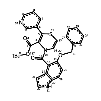 CC(C)(C)OC(=O)C1=C(c2cccnc2)SC=CN1C(=O)c1c(OCc2ccccc2)ccc2[nH]ccc12